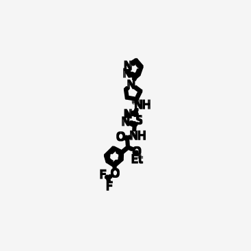 CCOC(C(=O)Nc1nnc(N[C@@H]2CCN(c3cccnn3)C2)s1)c1cccc(OC(F)F)c1